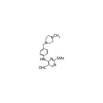 CSc1ncc(C=O)c(Nc2ccc(CN3CCN(C)CC3)cc2)n1